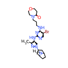 Cc1nn(C2CC3CCC(C2)N3C)cc1Nc1ncc(Br)c(NCCCN2CCOCCC2=O)n1